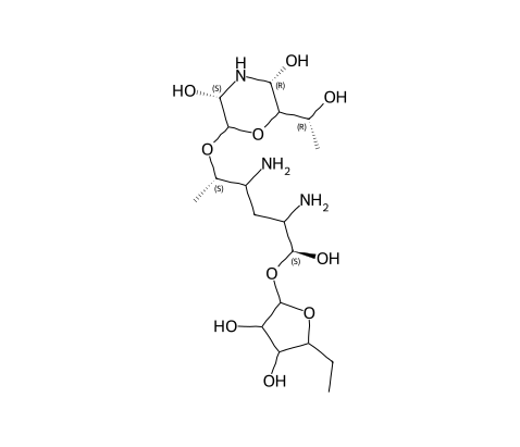 CCC1OC(O[C@H](O)C(N)CC(N)[C@H](C)OC2OC([C@@H](C)O)[C@@H](O)N[C@H]2O)C(O)C1O